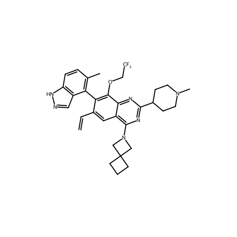 C=Cc1cc2c(N3CC4(CCC4)C3)nc(C3CCN(C)CC3)nc2c(OCC(F)(F)F)c1-c1c(C)ccc2[nH]ncc12